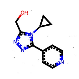 OCc1nnc(-c2ccncc2)n1C1CC1